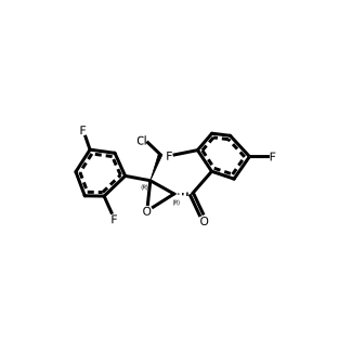 O=C(c1cc(F)ccc1F)[C@@H]1O[C@]1(CCl)c1cc(F)ccc1F